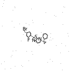 Fc1cc(CBr)ccc1-c1nc2ccc(C3(c4ccccc4)C=C3)nc2s1